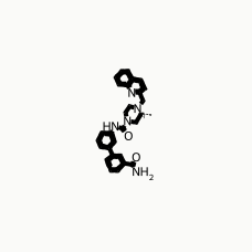 C[C@@H]1CN(C(=O)Nc2cccc(-c3cccc(C(N)=O)c3)c2)CCN1Cc1ccc2ccccc2n1